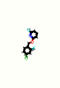 Fc1cccc(OCc2ccc(Cl)cc2F)n1